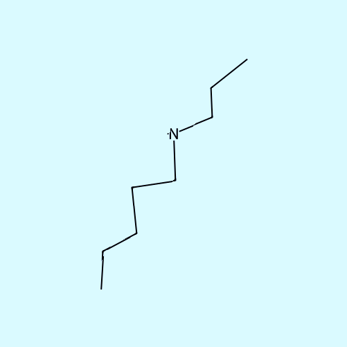 CCCCC[N]CCC